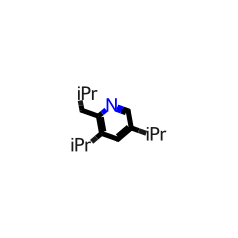 CC(C)Cc1ncc(C(C)C)cc1C(C)C